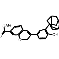 COC(=O)c1ccc2c(c1)OCC(c1ccc(O)c(C34CC5CC(CC(C5)C3)C4)c1)=C2